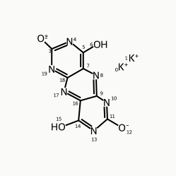 [K+].[K+].[O-]c1nc(O)c2nc3nc([O-])nc(O)c3nc2n1